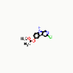 COC(C)Oc1ccc2[nH]c3cnc(Cl)cc3c2c1